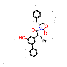 CC(C)C[C@@H](C(=O)N1C(=O)OC[C@H]1Cc1ccccc1)c1cc(O)cc(-c2ccccc2)c1